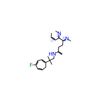 C=C(CCC(=N\C)/C(/C=C\C)=N/C)NCC(C)(C)C1=CC=C(F)C=CC1